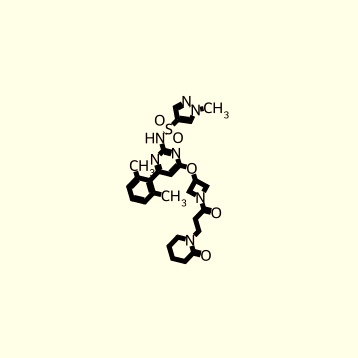 Cc1cccc(C)c1-c1cc(OC2CN(C(=O)CCN3CCCCC3=O)C2)nc(NS(=O)(=O)c2cnn(C)c2)n1